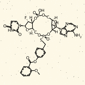 COc1ccccc1C(=O)Oc1ccc(CS[P@@]2(=O)OC[C@H]3O[C@@H](n4ccc(=O)[nH]c4=O)[C@H](F)[C@@H]3OP(=O)(O)OC[C@H]3O[C@@H](n4cnc5c(N)ncnc54)[C@H](O2)[C@@H]3F)cc1